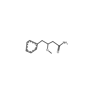 COC(CC(N)=O)Cc1ccccc1